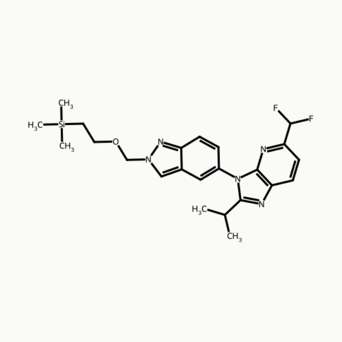 CC(C)c1nc2ccc(C(F)F)nc2n1-c1ccc2nn(COCC[Si](C)(C)C)cc2c1